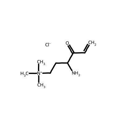 C=CC(=O)C(N)CC[N+](C)(C)C.[Cl-]